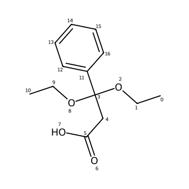 CCOC(CC(=O)O)(OCC)c1ccccc1